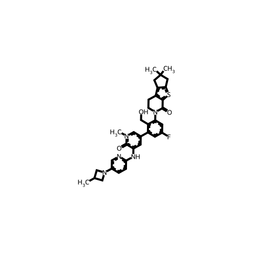 CC1CN(c2ccc(Nc3cc(-c4cc(F)cc(N5CCc6c(sc7c6CC(C)(C)C7)C5=O)c4CO)cn(C)c3=O)nc2)C1